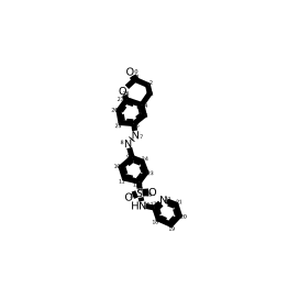 O=C1CCc2cc(N=Nc3ccc(S(=O)(=O)Nc4ccccn4)cc3)ccc2O1